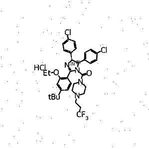 CCOc1cc(C(C)(C)C)ccc1C1=N[C@@H](c2ccc(Cl)cc2)[C@@H](c2ccc(Cl)cc2)N1C(=O)N1CCN(CCC(F)(F)F)CC1.Cl